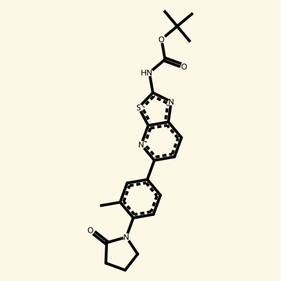 Cc1cc(-c2ccc3nc(NC(=O)OC(C)(C)C)sc3n2)ccc1N1CCCC1=O